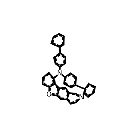 c1ccc(-c2ccc(N(c3ccc(-c4ccccc4)cc3)c3cccc4oc5cc6ccncc6cc5c34)cc2)cc1